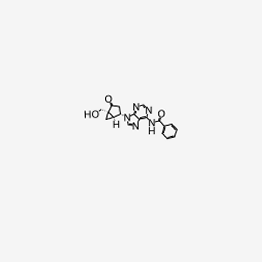 O=C(Nc1ncnc2c1ncn2[C@H]1CC(=O)[C@]2(CO)C[C@H]12)c1ccccc1